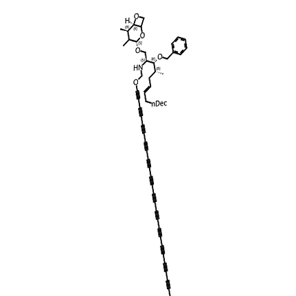 CC#CC#CC#CC#CC#CC#CC#CC#CC#CC#CC#CC#COCN[C@@H](CO[C@H]1OC2CO[C@@H]2[C@H](C)C1C)[C@H](OCc1ccccc1)[C@H](C)CC=CCCCCCCCCCCC